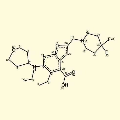 CCc1c(N(CC)C2CCOCC2)cc2oc(CN3CCC(F)(F)CC3)cc2c1C(=O)O